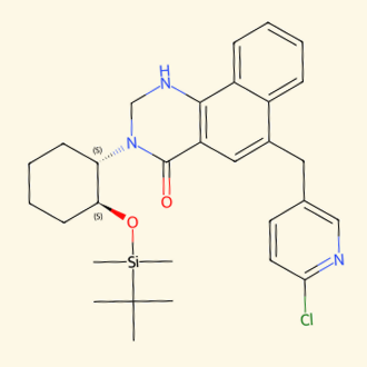 CC(C)(C)[Si](C)(C)O[C@H]1CCCC[C@@H]1N1CNc2c(cc(Cc3ccc(Cl)nc3)c3ccccc23)C1=O